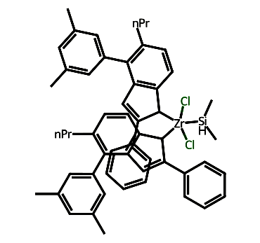 CCCc1ccc2c(c1-c1cc(C)cc(C)c1)C=C(c1ccccc1)[CH]2[Zr]([Cl])([Cl])([CH]1C(c2ccccc2)=Cc2c1ccc(CCC)c2-c1cc(C)cc(C)c1)[SiH](C)C